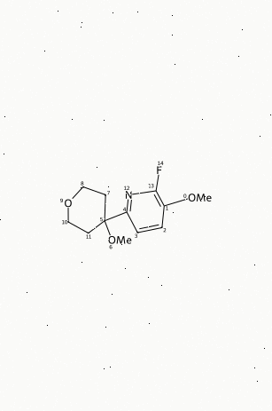 COc1ccc(C2(OC)CCOCC2)nc1F